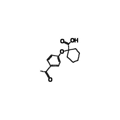 CC(=O)c1ccc(OC2(C(=O)O)CCCCC2)cc1